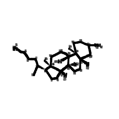 CC(C)CCCC(C)[C@H]1CC[C@H]2[C@@H]3CC[C@H]4CC(N)CC[C@]4(C)[C@H]3CC[C@]12C